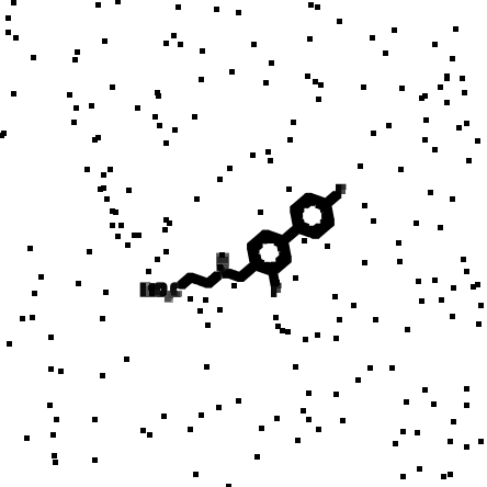 CCOC(=O)CCNCc1ccc(-c2ccc(F)cc2)cc1F